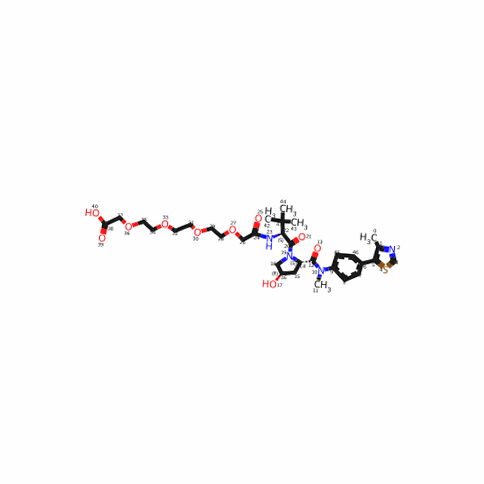 Cc1ncsc1-c1ccc(N(C)C(=O)[C@@H]2C[C@@H](O)CN2C(=O)[C@@H](NC(=O)COCCOCCOCCOCC(=O)O)C(C)(C)C)cc1